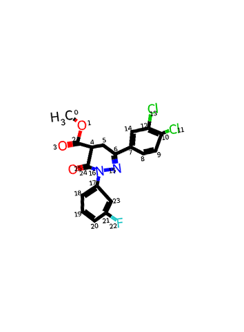 COC(=O)C1CC(c2ccc(Cl)c(Cl)c2)=NN(c2cccc(F)c2)C1=O